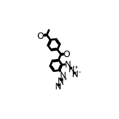 CC(=O)c1ccc(C(=O)c2cccc(N=[N+]=[N-])c2N=[N+]=[N-])cc1